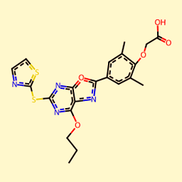 CCCOc1nc(Sc2nccs2)nc2oc(-c3cc(C)c(OCC(=O)O)c(C)c3)nc12